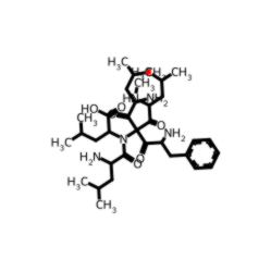 CNC(CC(C)C)C(=O)C(C(=O)C(N)Cc1ccccc1)(C(=O)C(N)CC(C)C)N(C(=O)C(N)CC(C)C)C(CC(C)C)C(=O)O